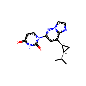 CC(C)[C@H]1C[C@@H]1c1cc(-n2ccc(=O)[nH]c2=O)nn2ccnc12